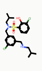 CC(C)CNCc1cc(Cl)cc(CN(CC(C)C)S(=O)(=O)c2cccc(Cl)c2O)c1